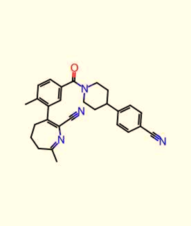 CC1=NC(C#N)=C(c2cc(C(=O)N3CCC(c4ccc(C#N)cc4)CC3)ccc2C)CCC1